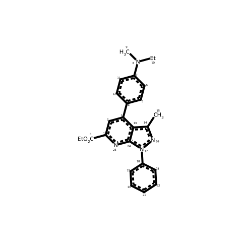 CCOC(=O)c1cc(-c2ccc(N(C)CC)cc2)c2c(C)nn(-c3ccccc3)c2n1